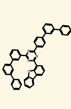 c1ccc(-c2cccc(-c3ccc(-c4nc(-c5cccc(-c6cccc(-c7ccccc7)c6)c5)nc(-c5cccc6c5oc5ccccc56)n4)cc3)c2)cc1